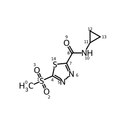 CS(=O)(=O)c1nnc(C(=O)NC2CC2)s1